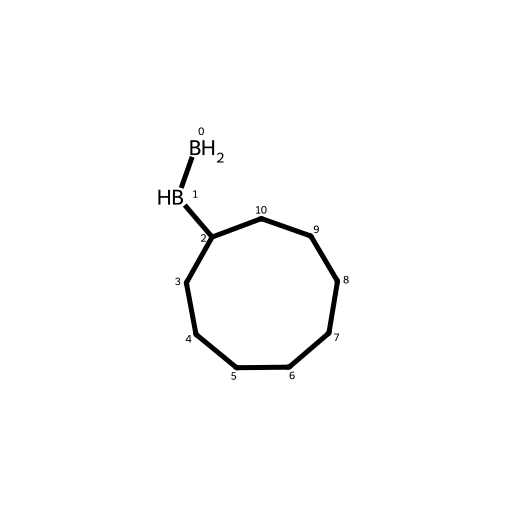 BBC1CCCCCCCC1